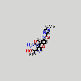 CC/C=C(\CO)c1cc2c(cn1)Oc1ccc(NC(=O)c3cnc(OC)cn3)cc1[C@@]21CCOC(N)=N1